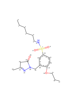 CCCCCCNS(=O)(=O)c1ccc(OCCC)c(CN2N=C(C)CC2=O)c1